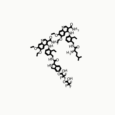 CCOc1cc2ncc(C(N)=O)c(Nc3cccc(CNC(=O)C4NCc5ccccc54)c3CC)c2cc1OCC.CCOc1cc2ncc(C(N)=O)c(Nc3cccc(CNC(=O)[C@H](N)CCC(C)C)c3CC)c2cc1OCC.O=C(O)C(F)(F)F.O=C(O)C(F)(F)F